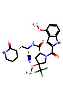 COc1cccc2[nH]c(C(=O)N3C[C@](OC)(C(F)(F)F)C[C@H]3C(=O)N[C@H](C#N)C[C@@H]3CCCNC3=O)cc12